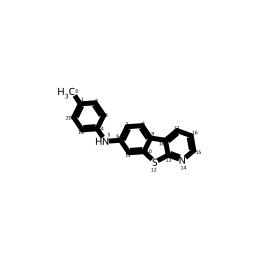 Cc1ccc(Nc2ccc3c(c2)sc2ncccc23)cc1